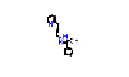 Cc1nn(CC#CCc2ccccn2)nc1-c1ccc(F)cc1